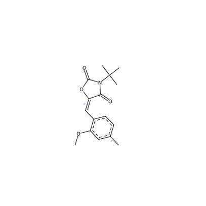 COc1cc(C)ccc1/C=C1/OC(=O)N(C(C)(C)C)C1=O